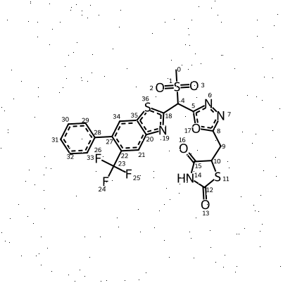 CS(=O)(=O)C(c1nnc(CC2SC(=O)NC2=O)o1)c1nc2cc(C(F)(F)F)c(-c3ccccc3)cc2s1